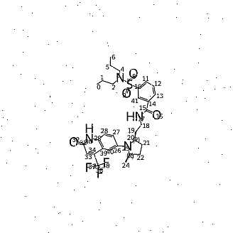 CCCN(CCC)S(=O)(=O)c1cccc(C(=O)NCC[C@H]2CC[C@@H](C)N2c2ccc3[nH]c(=O)cc(C(F)(F)F)c3c2)c1